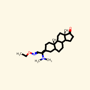 CCON=CC(=C1CC[C@@]2(C)C(CCC3C2CC[C@]2(C)C(=O)CCC32)C1)N(C)C